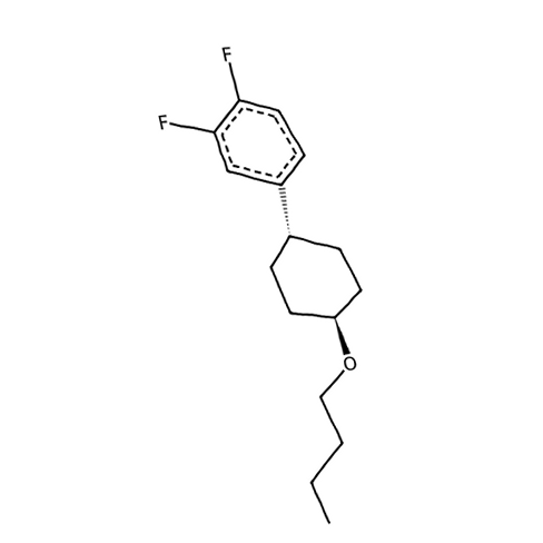 CCCCO[C@H]1CC[C@H](c2ccc(F)c(F)c2)CC1